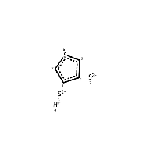 [H+].[S-2].[S-2].c1ccsc1